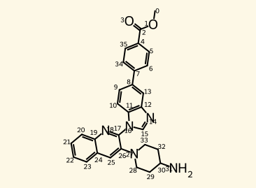 COC(=O)c1ccc(-c2ccc3c(c2)ncn3-c2nc3ccccc3cc2N2CCC(N)CC2)cc1